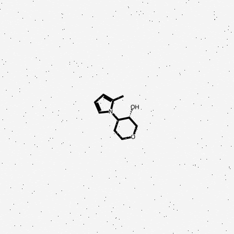 Cc1cccn1C1CCOC[C@H]1O